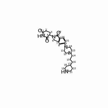 O=C1CCC(N2Cc3cc(N4CCN(CCCC5CCNCC5)CC4)ccc3C2=O)C(=O)N1